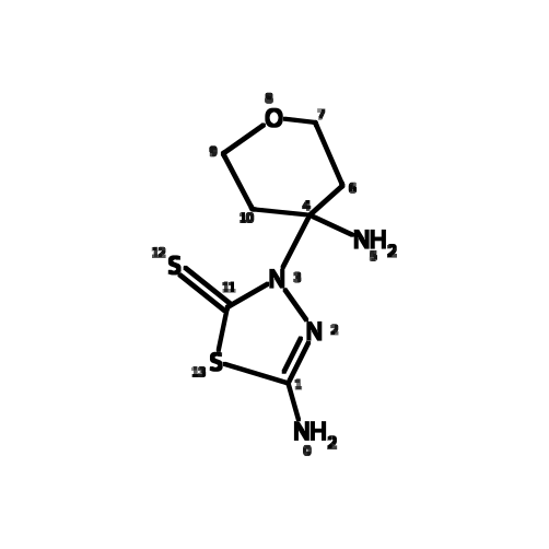 Nc1nn(C2(N)CCOCC2)c(=S)s1